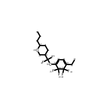 CCCC1CCC(C(F)(F)OC2=CC=C(CC)C(F)(F)C2(F)F)CO1